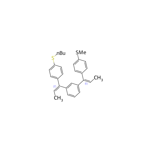 C/C=C(/c1ccc(SCCCC)cc1)c1cccc(/C(=C/C)c2ccc(SC)cc2)c1